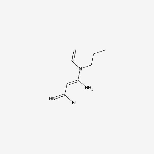 C=CN(CCC)/C(N)=C/C(=N)Br